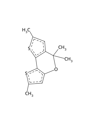 Cc1cc2c(s1)-c1sc(C)cc1C(C)(C)O2